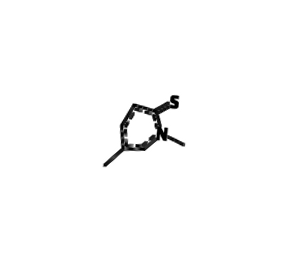 Cc1ccc(=S)n(C)c1